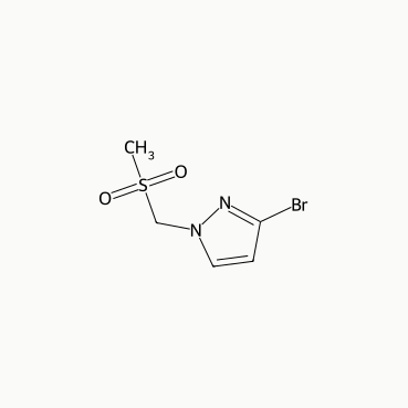 CS(=O)(=O)Cn1ccc(Br)n1